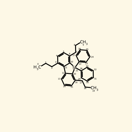 CCCc1ccc(CCC)c2c1-c1cccc(CCC)c1[Si]2(c1ccccc1)c1ccccc1